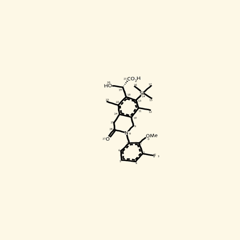 COc1c(F)cccc1N1Cc2c(C)c([Si](C)(C)C)c([C@H](O)C(=O)O)c(C)c2CC1=O